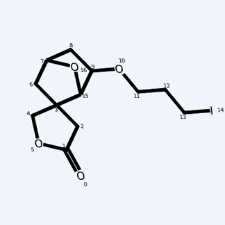 O=C1CC2(CO1)CC1CC(OCCCI)C2O1